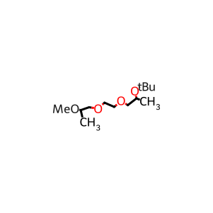 COC(C)COCCOCC(C)OC(C)(C)C